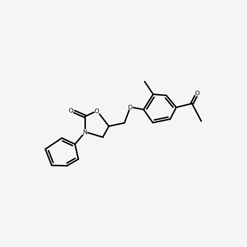 CC(=O)c1ccc(OCC2CN(c3ccccc3)C(=O)O2)c(C)c1